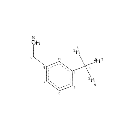 [2H]C([2H])([2H])c1cccc(CO)c1